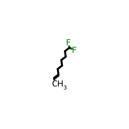 C/C=C/CCCCCC(F)F